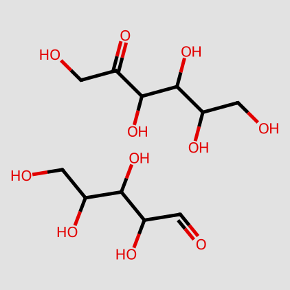 O=C(CO)C(O)C(O)C(O)CO.O=CC(O)C(O)C(O)CO